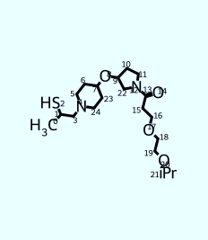 CC(S)CN1CCC(OC2CCN(C(=O)CCOCCOC(C)C)C2)CC1